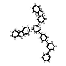 C1=C(c2ccccc2)C=C(c2ccc(-c3nc(-c4ccc5oc6ccccc6c5c4)nc([C@H]4C=c5oc6ccccc6c5=CC4)n3)cc2)CC1